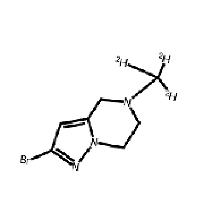 [2H]C([2H])([2H])N1CCn2nc(Br)cc2C1